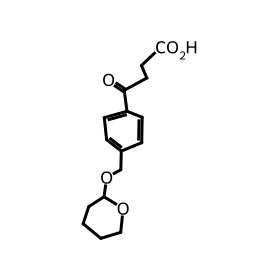 O=C(O)CCC(=O)c1ccc(COC2CCCCO2)cc1